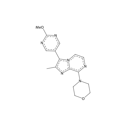 COc1ncc(-c2c(C)nc3c(N4CCOCC4)nccn23)cn1